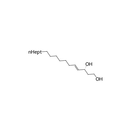 CCCCCCCCCCCCC/C=C/[C@H](O)CCO